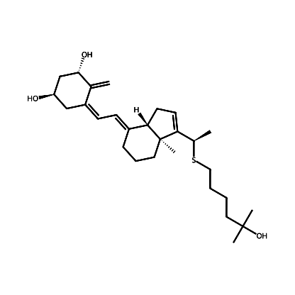 C=C1C(=CC=C2CCC[C@]3(C)C([C@@H](C)SCCCCC(C)(C)O)=CC[C@@H]23)C[C@@H](O)C[C@@H]1O